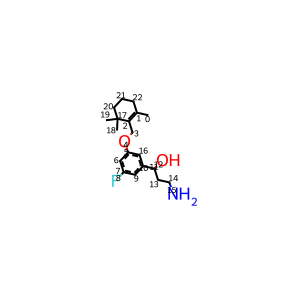 CC1=C(COc2cc(F)cc(C(O)CCN)c2)C(C)(C)CCC1